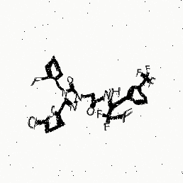 O=C(Cn1nc(-c2ccc(Cl)s2)n(Cc2ccccc2F)c1=O)NC(c1cccc(C(F)(F)F)c1)C(F)(F)F